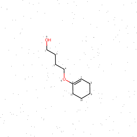 OCCCCOC1=CCCCC1